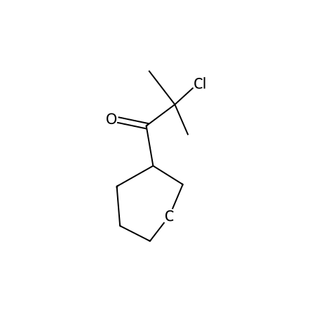 CC(C)(Cl)C(=O)C1CCCCC1